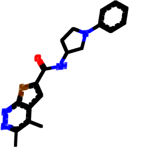 Cc1nnc2sc(C(=O)NC3CCN(c4ccccc4)C3)cc2c1C